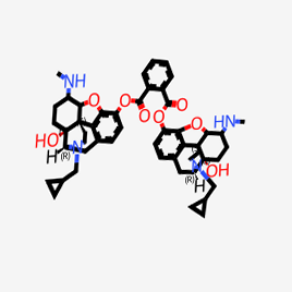 CNC1CC[C@@]2(O)[C@H]3Cc4ccc(OC(=O)c5ccccc5C(=O)Oc5ccc6c7c5OC5C(NC)CC[C@@]8(O)[C@@H](C6)N(CC6CC6)CC[C@]758)c5c4[C@@]2(CCN3CC2CC2)C1O5